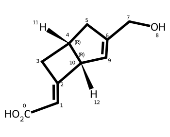 O=C(O)C=C1C[C@@H]2CC(CO)=C[C@H]12